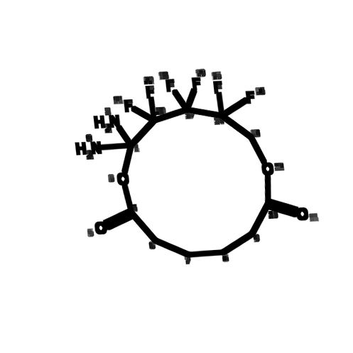 NC1(N)OC(=O)CCCCC(=O)OCC(F)(F)C(F)(F)C1(F)F